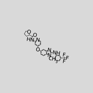 Cn1c(Nc2cccc(C(F)(F)F)c2)nc2cc(Oc3ccnc(NC(=O)C4CCCO4)c3)ccc21